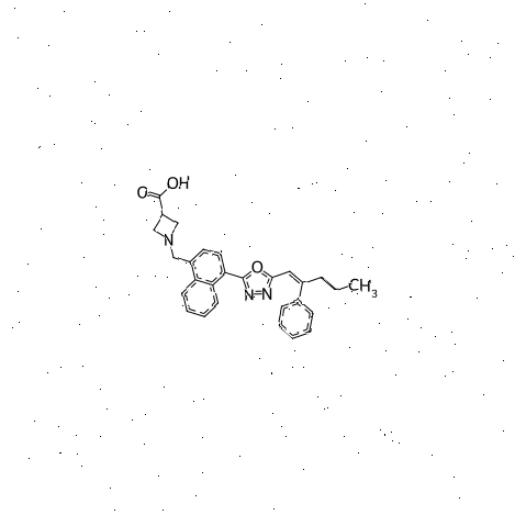 CCCC(=Cc1nnc(-c2ccc(CN3CC(C(=O)O)C3)c3ccccc23)o1)c1ccccc1